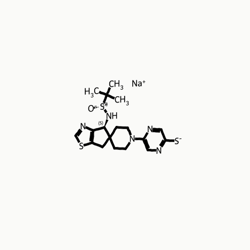 CC(C)(C)[S@@+]([O-])N[C@@H]1c2ncsc2CC12CCN(c1cnc([S-])cn1)CC2.[Na+]